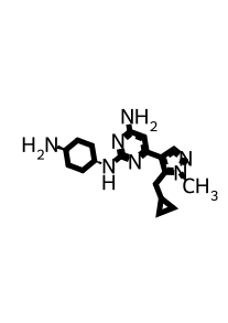 Cn1ncc(-c2cc(N)nc(N[C@H]3CC[C@H](N)CC3)n2)c1CC1CC1